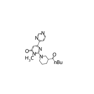 CCCCC(=O)C1CCCN(c2nc(-c3ccncn3)cc(=O)n2C)C1